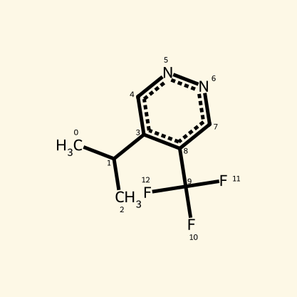 CC(C)c1cnncc1C(F)(F)F